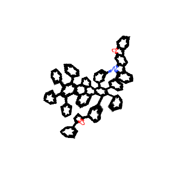 c1ccc(-c2ccc(-c3cccc(-c4c(-c5ccccc5)c(-c5ccccc5)c(-c5cccc(-n6c7ccccc7c7cc8c(cc76)oc6ccccc68)c5)c5c6cccc7c8c(-c9ccccc9)c(-c9ccccc9)c(-c9ccccc9)c(-c9ccccc9)c8c8cccc(c45)c8c76)c3)o2)cc1